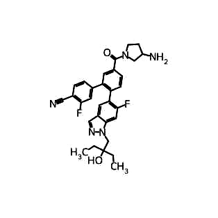 CCC(O)(CC)Cn1ncc2cc(-c3ccc(C(=O)N4CCC(N)C4)cc3-c3ccc(C#N)c(F)c3)c(F)cc21